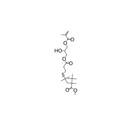 C=C(C)C(=O)OCC(O)COC(=O)CCSC(C)(C)CC(C)(C(=O)OC)C(C)(C)C